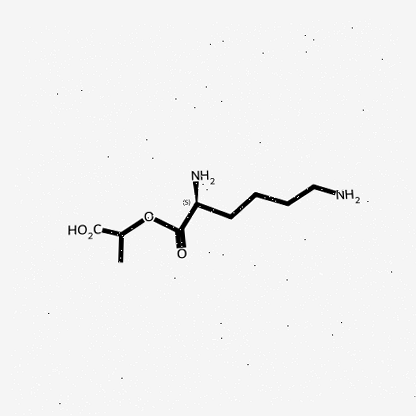 CC(OC(=O)[C@@H](N)CCCCN)C(=O)O